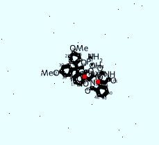 CCCCCCOC1=[N+]([C@@]2(O)[C@H](O)[C@@H](C(OP(N)O)C(c3ccccc3)(c3ccc(OC)cc3)c3ccc(OC)cc3)O[C@H]2n2ccc(=O)[nH]c2=O)C(=O)c2ccccc21